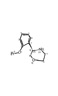 CC(C)Oc1ccccc1[C@@H]1COCCN1